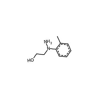 Cc1ccccc1N(N)CCO